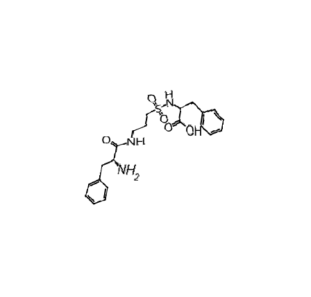 N[C@@H](Cc1ccccc1)C(=O)NCCCS(=O)(=O)N[C@@H](Cc1ccccc1)C(=O)O